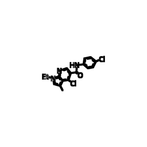 CCn1cc(C)c2c(Cl)c(C(=O)Nc3ccc(Cl)cc3)cnc21